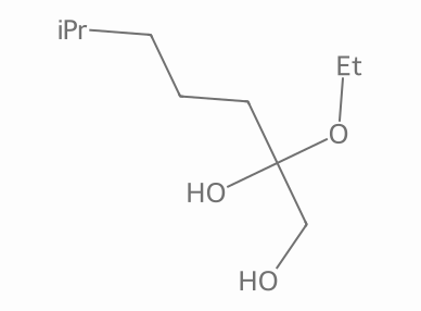 CCOC(O)(CO)CCCC(C)C